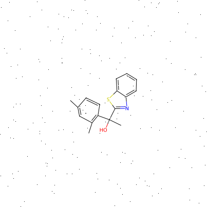 Cc1ccc(C(C)(O)c2nc3ccccc3s2)c(C)c1